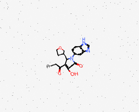 CC(C)CC(=O)C1=C(O)C(=O)N(c2ccc3[nH]cnc3c2)C1C1CCOC1